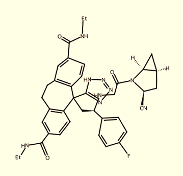 CCNC(=O)c1ccc2c(c1)CCc1cc(C(=O)NCC)ccc1C2(C[C@@H](NCC(=O)N1[C@H](C#N)C[C@@H]2C[C@@H]21)c1ccc(F)cc1)c1nnn[nH]1